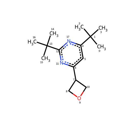 CC(C)(C)c1cc(C2COC2)nc(C(C)(C)C)n1